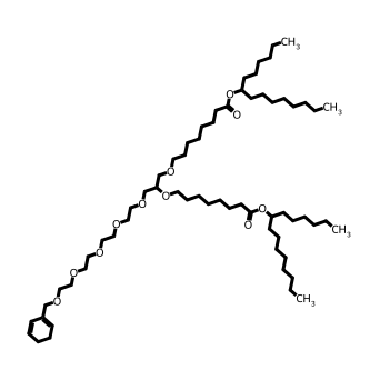 CCCCCCCCC(CCCCCC)OC(=O)CCCCCCCOCC(COCCOCCOCCOCCOCC1=CCCC=C1)OCCCCCCCC(=O)OC(CCCCCC)CCCCCCCC